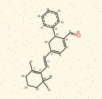 CC1=C(/C=C/C2=CC=C(C=O)C(c3ccccc3)C2)C(C)(C)CCC1